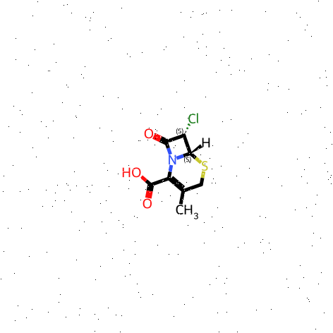 CC1=C(C(=O)O)N2C(=O)[C@H](Cl)[C@@H]2SC1